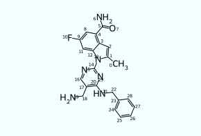 Cc1cc2c(C(N)=O)cc(F)cc2n1-c1ncc(CN)c(NCc2ccccc2)n1